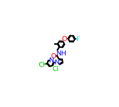 Cc1cc(Oc2ccc(F)cc2)ccc1CNC(=O)c1cccn1-c1ncc(Cl)cc1Cl